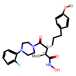 CCOc1ccc(CCC[C@@H](C(=O)N2CCN(c3ccccc3F)CC2)[C@H](OC)C(=O)NO)cc1